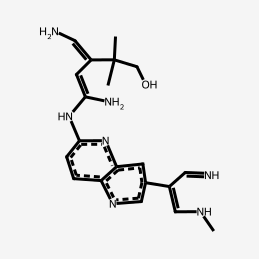 CN/C=C(\C=N)c1cnc2ccc(N/C(N)=C/C(=C\N)C(C)(C)CO)nc2c1